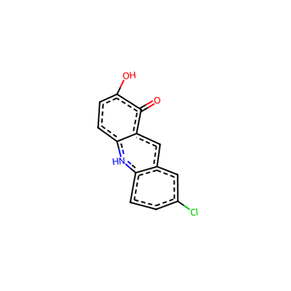 O=c1c(O)ccc2[nH]c3ccc(Cl)cc3cc1-2